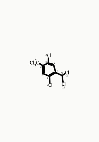 Clc1cc(C(Cl)(Cl)Cl)c(Cl)cc1C(Cl)Cl